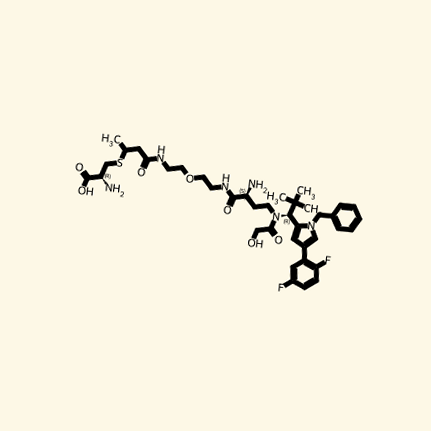 CC(CC(=O)NCCOCCNC(=O)[C@@H](N)CCN(C(=O)CO)[C@@H](c1cc(-c2cc(F)ccc2F)cn1Cc1ccccc1)C(C)(C)C)SC[C@H](N)C(=O)O